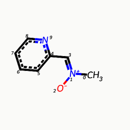 C[N+]([O-])=Cc1ccccn1